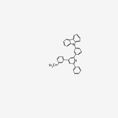 C=Cc1cccc(-c2cc(-c3ccccc3)nc(-c3cccc(-n4c5ccccc5c5ccccc54)c3)c2)c1